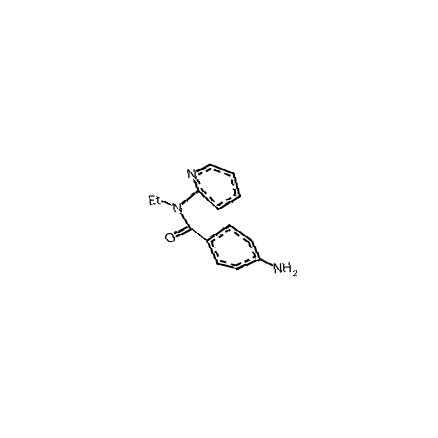 CCN(C(=O)c1ccc(N)cc1)c1ccccn1